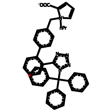 CCC[N+]1(Cc2ccc(-c3ccccc3-c3nnnn3C(c3ccccc3)(c3ccccc3)c3ccccc3)cc2)C=CC=C1C(=O)[O-]